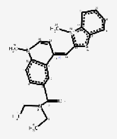 CCN(CC)C(=O)c1ccc2c(c1)/C(=C/c1sc3ccccc3[n+]1C)C=CN2C